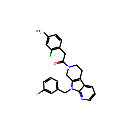 O=C(O)c1ccc(CC(=O)N2CCc3c(n(Cc4cccc(F)c4)c4ncccc34)C2)c(Cl)c1